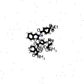 CCS(=O)(=O)c1ccc(C(=O)/N=C(\CC2CCCCC2)C(=O)N2C[C@@H](n3nncc3C(C)(C)O)C[C@H]2C(=O)NC2(C(=O)C(N)=O)CCSCC2)cc1